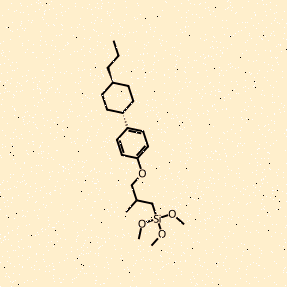 CCC[C@H]1CC[C@H](c2ccc(OCC(C)C[Si](OC)(OC)OC)cc2)CC1